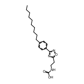 CCCCCCCCCCc1ccc(-c2noc(CCNC(=O)O)n2)cc1